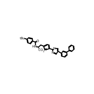 CC(C)(C)c1ccc(C(=O)N[C@@H](Cc2ccc(-c3ncc(-c4cccc(-c5ccccc5)c4)cn3)cc2)C(=O)O)cc1